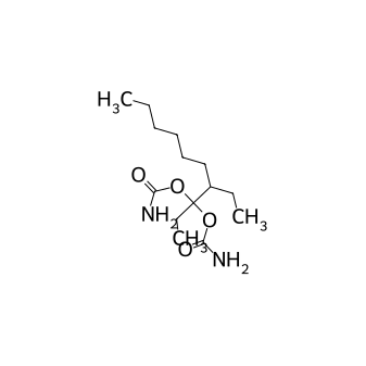 CCCCCCC(CC)C(CC)(OC(N)=O)OC(N)=O